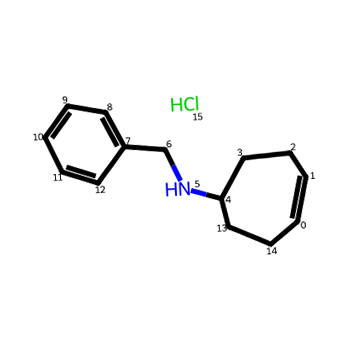 C1=CCCC(NCc2ccccc2)CC1.Cl